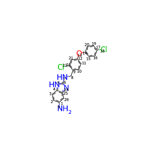 Nc1ccc2[nH]c(NCc3ccc(Oc4ccc(Cl)cc4)cc3Cl)nc2c1